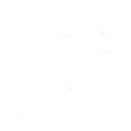 Nc1nc2ccccc2c(N)c1C1CCC(NCc2cc(Cl)cc(Cl)c2)CC1